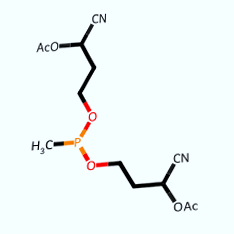 CC(=O)OC(C#N)CCOP(C)OCCC(C#N)OC(C)=O